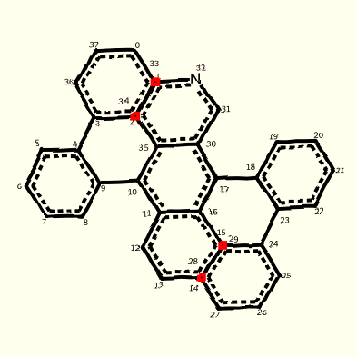 c1ccc(-c2ccccc2-c2c3ccccc3c(-c3ccccc3-c3ccccc3)c3cnccc23)cc1